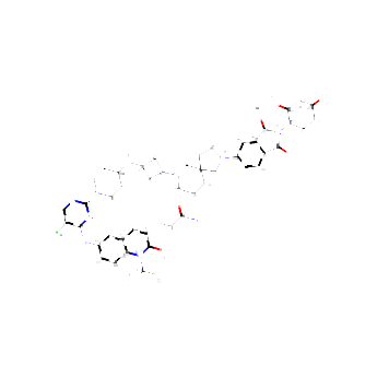 CNC(=O)COc1cc2cc(Nc3nc(N4CCC(OC5CC(N6CCCC7(CCN(c8ccc9c(c8)C(=O)N([C@@H]8CCC(=O)NC8=O)C9=O)C7)C6)C5)CC4)ncc3Cl)ccc2n(C(C)C)c1=O